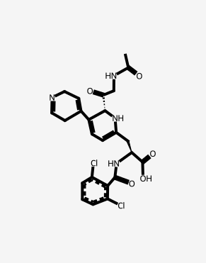 CC(=O)NCC(=O)[C@@H]1NC(C[C@H](NC(=O)c2c(Cl)cccc2Cl)C(=O)O)=CC=C1C1=CCN=CC1